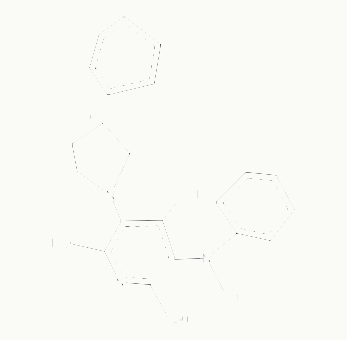 CCCCc1nc(O)c(N2CC[C@H](c3ccccc3)C2)c(O)c1N(c1ccccc1)C(C)C